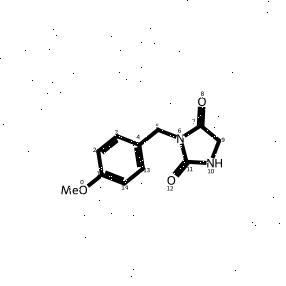 COc1ccc(CN2C(=O)CNC2=O)cc1